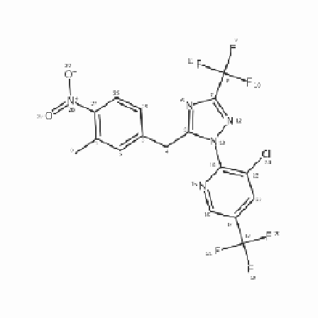 Cc1cc(Cc2nc(C(F)(F)F)nn2-c2ncc(C(F)(F)F)cc2Cl)ccc1[N+](=O)[O-]